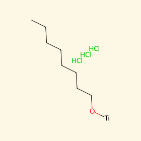 CCCCCCCC[O][Ti].Cl.Cl.Cl